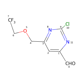 O=Cc1cc(COCC(F)(F)F)nc(Cl)n1